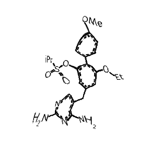 CCOc1cc(Cc2cnc(N)nc2N)cc(OS(=O)(=O)C(C)C)c1-c1ccc(OC)cc1